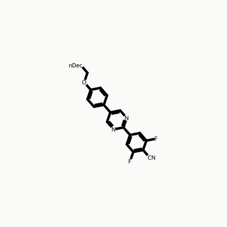 CCCCCCCCCCCOc1ccc(-c2cnc(-c3cc(F)c(C#N)c(F)c3)nc2)cc1